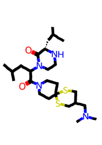 CC(C)CC(C(=O)N1CCC2(CC1)SCC(CN(C)C)CS2)N1CCN[C@@H](CC(C)C)C1=O